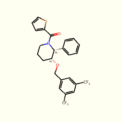 O=C(c1cccs1)N1CCC[C@@H](OCc2cc(C(F)(F)F)cc(C(F)(F)F)c2)[C@H]1c1ccccc1